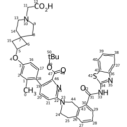 Cc1cc(OC2CC3(CCN(CC(=O)O)CC3)C2)ccc1-c1ccc(N2CCc3cccc(C(=O)Nc4nc5ccccc5s4)c3C2)nc1C(=O)OC(C)(C)C